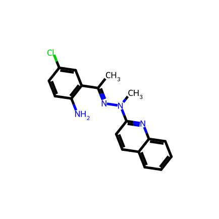 C/C(=N\N(C)c1ccc2ccccc2n1)c1cc(Cl)ccc1N